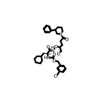 O=CC(CCC(=O)N1CCCC(c2ccccc2)C1)ONC(=O)[C@H](CC1CCCCC1)NC(=O)OCc1cccc(Cl)c1